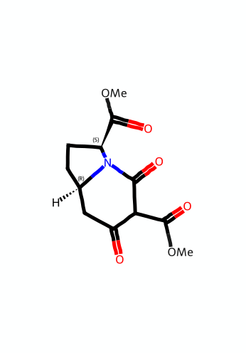 COC(=O)C1C(=O)C[C@H]2CC[C@@H](C(=O)OC)N2C1=O